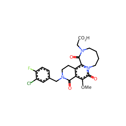 COc1c2c(c3n(c1=O)CCCCN(CC(=O)O)C3=O)CCN(Cc1ccc(F)c(Cl)c1)C2=O